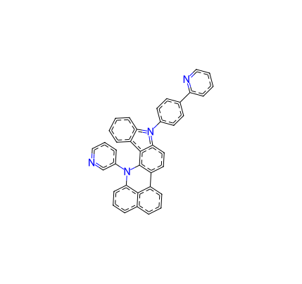 c1ccc(-c2ccc(-n3c4ccccc4c4c5c(ccc43)-c3cccc4cccc(c34)N5c3cccnc3)cc2)nc1